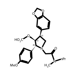 CCCN(C)C(=O)CN1C[C@H](c2ccc3c(c2)OCO3)[C@H](OC(=O)O)[C@H]1c1ccc(OC)cc1